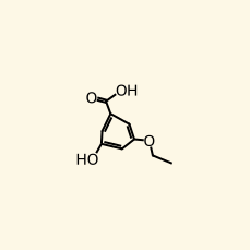 CCOc1cc(O)cc(C(=O)O)c1